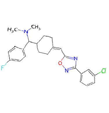 CN(C)C(c1ccc(F)cc1)C1CCC(=Cc2nc(-c3cccc(Cl)c3)no2)CC1